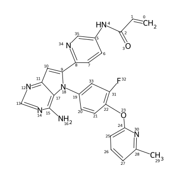 C=CC(=O)Nc1ccc(-c2cc3ncnc(N)c3n2-c2ccc(Oc3cccc(C)n3)c(F)c2)nc1